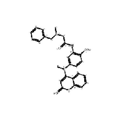 COc1ccc(N(C)c2cc(=O)oc3ccccc23)cc1NC(=O)CN(C)Cc1ccccc1